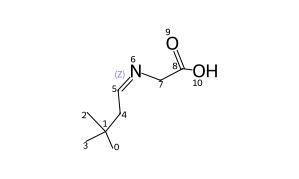 CC(C)(C)C/C=N\CC(=O)O